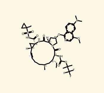 CC[C@@H]1C[C@@H](C)CC/C=C\[C@@H]2C[C@@]2(C(=O)NS(=O)(=O)C2(C)CC2)NC(=O)[C@@H]2C[C@@H](Oc3ncc(OC)c4cc(N(C)C)ccc34)CN2C(=O)[C@H]1NC(=O)OC(C)(C)C(F)(F)F